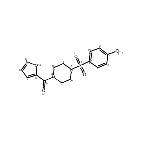 Cc1ccc(S(=O)(=O)N2CCN(C(=O)c3ccno3)CC2)cc1